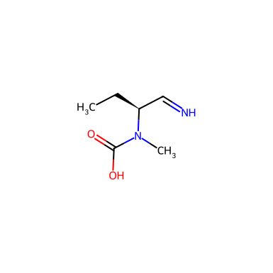 CC[C@@H](C=N)N(C)C(=O)O